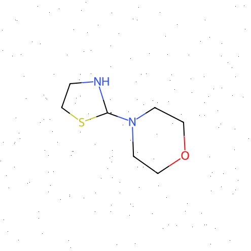 C1CS[C](N2CCOCC2)N1